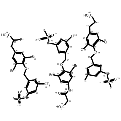 CS(=O)(=O)Nc1cc(COc2c(Br)cc(CC(F)C(=O)O)cc2Br)cc(C(F)(F)F)c1.CS(=O)(=O)Nc1cc(Cl)cc(COc2c(Br)cc(NC(=O)CC(=O)O)cc2Br)c1.Cc1cc(COc2c(Cl)cc(CCC(=O)O)cc2Cl)cc(NS(C)(=O)=O)c1